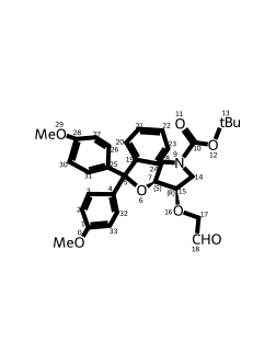 COc1ccc(C(O[C@H]2CN(C(=O)OC(C)(C)C)C[C@H]2OCC=O)(c2ccccc2)c2ccc(OC)cc2)cc1